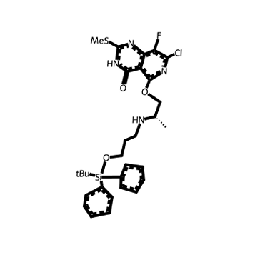 CSc1nc2c(F)c(Cl)nc(OC[C@H](C)NCCCO[Si](c3ccccc3)(c3ccccc3)C(C)(C)C)c2c(=O)[nH]1